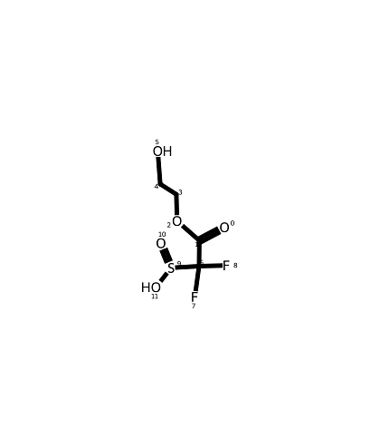 O=C(OCCO)C(F)(F)S(=O)O